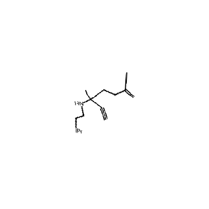 C#CC(C)(CCC(=C)C)NCCC(C)C